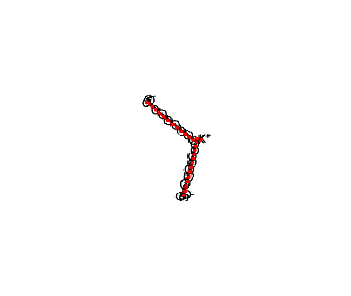 O=S(=O)([O-])CCCCOCCOCCOCCOCCOCCOCCOc1ccccc1OCCOCCOCCOCCOCCOCCOCCCCS(=O)(=O)[O-].[K+].[K+]